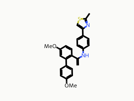 C=C(Nc1ccc(-c2csc(C)n2)cc1)c1ccc(OC)cc1-c1ccc(OC)cc1